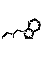 S=CNCn1cnc2cncnc21